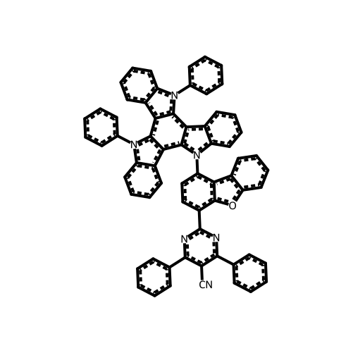 N#Cc1c(-c2ccccc2)nc(-c2ccc(-n3c4ccccc4c4c5c(c6ccccc6n5-c5ccccc5)c5c(c6ccccc6n5-c5ccccc5)c43)c3c2oc2ccccc23)nc1-c1ccccc1